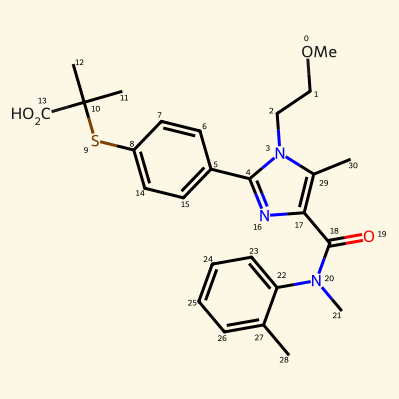 COCCn1c(-c2ccc(SC(C)(C)C(=O)O)cc2)nc(C(=O)N(C)c2ccccc2C)c1C